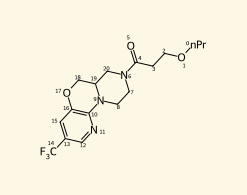 CCCOCCC(=O)N1CCN2c3ncc(C(F)(F)F)cc3OCC2C1